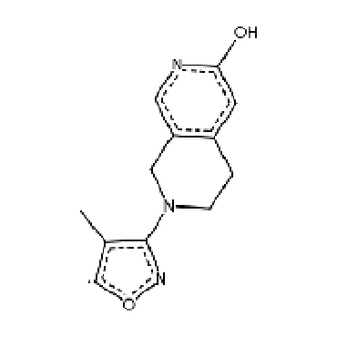 Cc1[c]onc1N1CCc2cc(O)ncc2C1